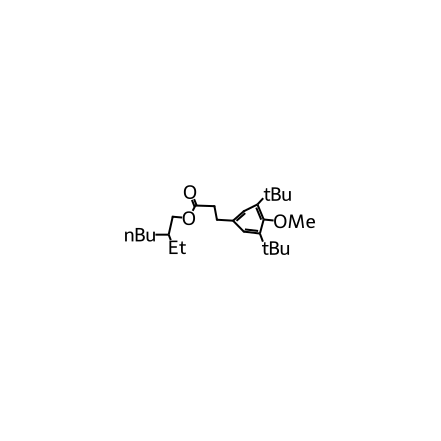 CCCCC(CC)COC(=O)CCc1cc(C(C)(C)C)c(OC)c(C(C)(C)C)c1